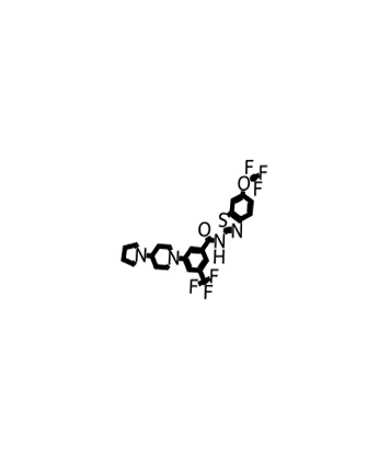 O=C(Nc1nc2ccc(OC(F)(F)F)cc2s1)c1cc(N2CCC(N3CCCC3)CC2)cc(C(F)(F)F)c1